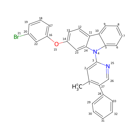 Cc1cc(-n2c3ccccc3c3ccc(Oc4cccc(Br)c4)cc32)ncc1-c1ccccc1